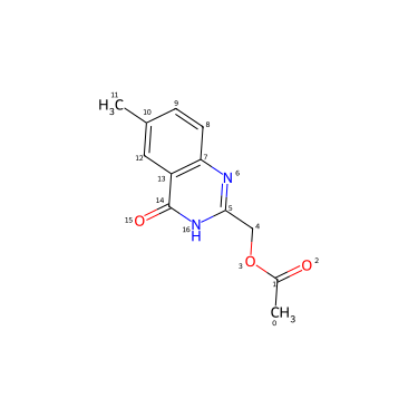 CC(=O)OCc1nc2ccc(C)cc2c(=O)[nH]1